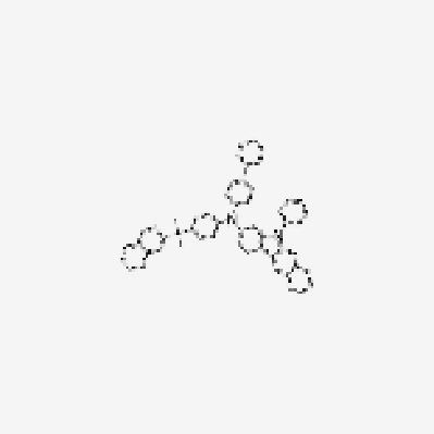 CC(C)(c1ccc(N(c2ccc(-c3ccccc3)cc2)c2ccc3c4cc5ccccc5cc4n(-c4ccccc4)c3c2)cc1)c1ccc2ccccc2c1